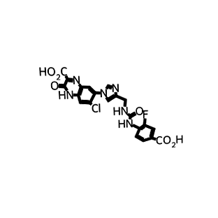 O=C(NCc1cn(-c2cc3nc(C(=O)O)c(=O)[nH]c3cc2Cl)cn1)Nc1ccc(C(=O)O)cc1F